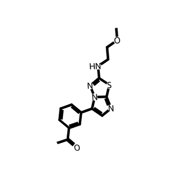 COCCNc1nn2c(-c3cccc(C(C)=O)c3)cnc2s1